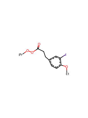 CCOc1ccc(CCC(=O)OOC(C)C)cc1I